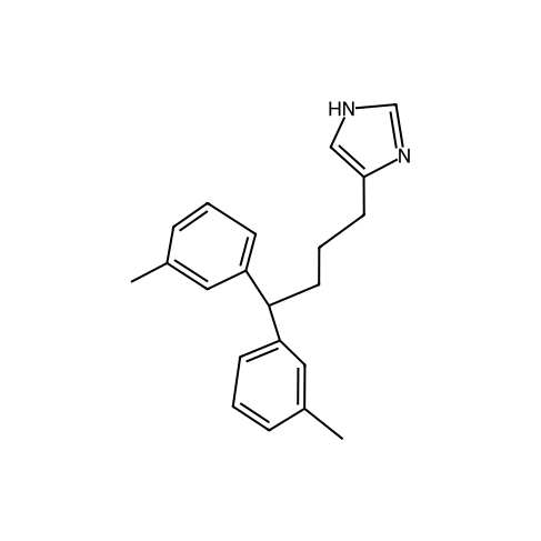 Cc1cccc(C(CCCc2c[nH]cn2)c2cccc(C)c2)c1